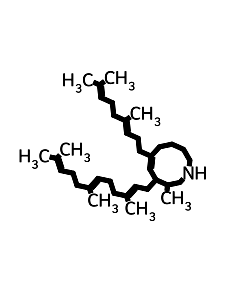 CC(C)=CCC/C(C)=C/CC/C(C)=C/CC1/C=C(/CC/C=C(\C)CCC=C(C)C)CCCCNCC1C